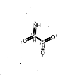 N=[SH](=O)[SH](=O)=O